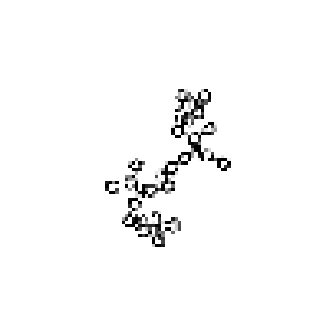 c1ccc(-c2ccc(N(c3ccc(-c4ccc5oc6c(-c7ccc(N(c8ccc(-c9cccc%10c9oc9c%11c(ccc9%10)-c9ccccc9-n9c%10ccccc%10c%10cccc-%11c%109)cc8)c8cc(-c9ccccc9)cc(-c9ccccc9)c8)cc7)cccc6c5c4)cc3)c3cc(-c4ccccc4)cc(-c4cccc5c4oc4c6c(ccc45)-c4ccccc4-n4c5ccccc5c5cccc-6c54)c3)cc2)cc1